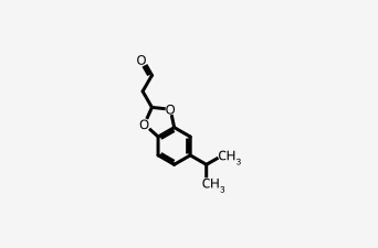 CC(C)c1ccc2c(c1)OC(CC=O)O2